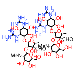 CN[C@@H]1[C@H](O[C@H]2[C@H](O[C@H]3[C@H](O)[C@@H](O)[C@H](NC(=N)N)[C@@H](O)[C@@H]3NC(=N)N)O[C@@H](C)[C@]2(O)C=O)O[C@@H](CO)[C@H](O)[C@H]1O.CN[C@@H]1[C@H](O[C@H]2[C@H](O[C@H]3[C@H](O)[C@@H](O)[C@H](NC(=N)N)[C@@H](O)[C@@H]3NC(=N)N)O[C@@H](C)[C@]2(O)C=O)O[C@@H](CO)[C@H](O)[C@H]1O